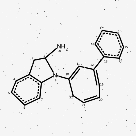 NC1Cc2ccccc2N1C1=CC(c2ccccc2)=CC=CC1